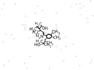 C=C(O)/C(=C/C)C(=C)/C=C(\N)c1cc(C)c(C)cc1CC(C)C(C)(C)CO